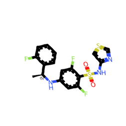 C[C@H](Nc1cc(F)c(S(=O)(=O)Nc2cscn2)c(F)c1)c1ccccc1F